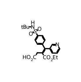 CCOC(=O)C(CC(=O)O)=C(c1ccc(S(=O)(=O)NC(C)(C)C)cc1)c1cccnc1